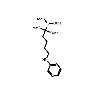 CO[SiH](OC)C(CCCCNc1ccccc1)(OC)OC